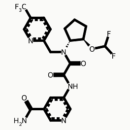 NC(=O)c1cncc(NC(=O)C(=O)N(Cc2ccc(C(F)(F)F)cn2)[C@@H]2CCC[C@H]2OC(F)F)c1